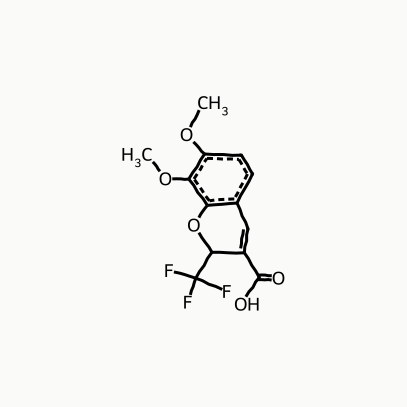 COc1ccc2c(c1OC)OC(C(F)(F)F)C(C(=O)O)=C2